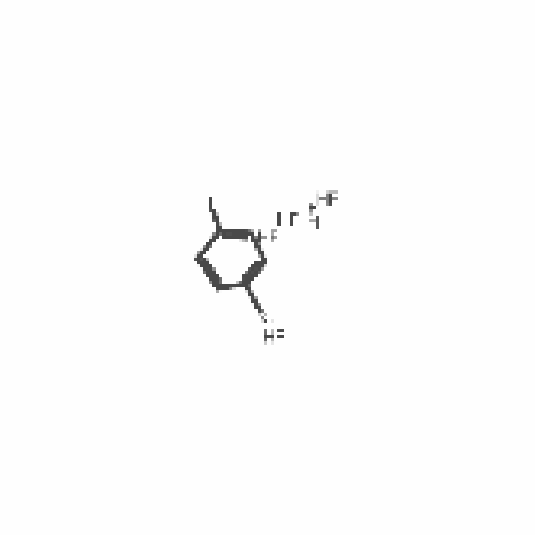 F.F.F.F.F.[S]c1ccc(I)cc1